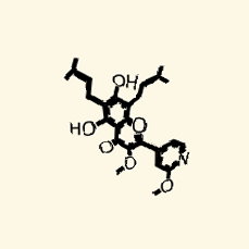 COc1cc(-c2oc3c(CC=C(C)C)c(O)c(CC=C(C)C)c(O)c3c(=O)c2OC)ccn1